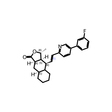 C[C@H]1OC(=O)[C@@H]2C[C@@H]3CCCCC3[C@H](/C=C/c3ccc(-c4cccc(F)c4)cn3)[C@H]12